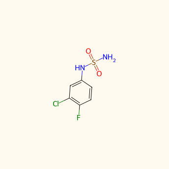 NS(=O)(=O)Nc1ccc(F)c(Cl)c1